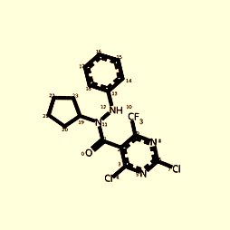 O=C(c1c(Cl)nc(Cl)nc1C(F)(F)F)N(Nc1ccccc1)C1CCCC1